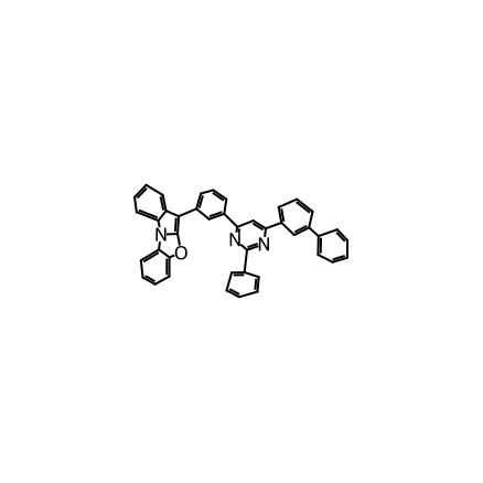 c1ccc(-c2cccc(-c3cc(-c4cccc(-c5c6ccccc6n6c5oc5ccccc56)c4)nc(-c4ccccc4)n3)c2)cc1